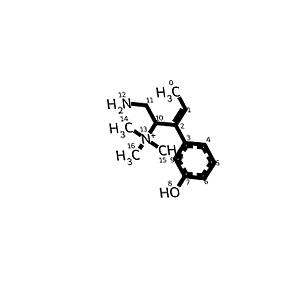 CC=C(c1cccc(O)c1)C(CN)[N+](C)(C)C